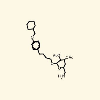 CC(=O)OC1CC(CN)OC(OCCCCc2ccc(OCC3CCCCC3)cc2)C1OC(C)=O